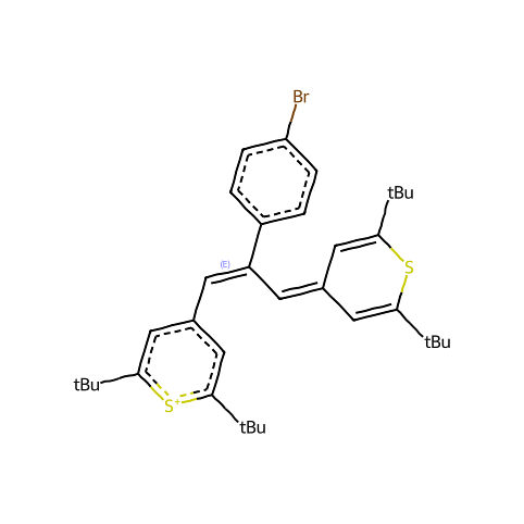 CC(C)(C)C1=CC(=C/C(=C\c2cc(C(C)(C)C)[s+]c(C(C)(C)C)c2)c2ccc(Br)cc2)C=C(C(C)(C)C)S1